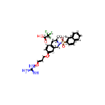 N=C(N)NOCCCOc1ccc2c(c1)CN(S(=O)(=O)c1ccc3ccccc3c1)[C@H](C(=O)O)C2.O=C(O)C(F)(F)F